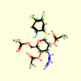 CC(=O)OC[C@H]1O[C@H](Sc2cc(Cl)c(Cl)cc2F)[C@H](OC(C)=O)[C@@H](N=[N+]=[N-])[C@H]1OC(C)=O